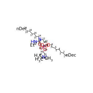 CCCCCCCCCCCCCCCCCCOCC(CN(CCCCCCCCCCCCCCCC)C(=O)NCC)OP(=O)([O-])OCC[N+](C)(C)C